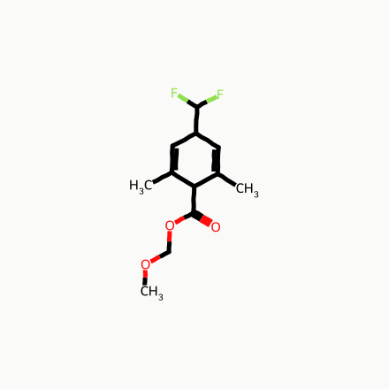 COCOC(=O)C1C(C)=CC(C(F)F)C=C1C